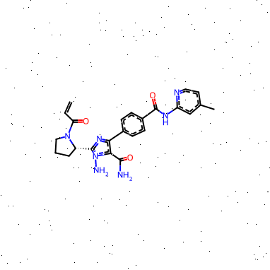 C=CC(=O)N1CCC[C@H]1c1nc(-c2ccc(C(=O)Nc3cc(C)ccn3)cc2)c(C(N)=O)n1N